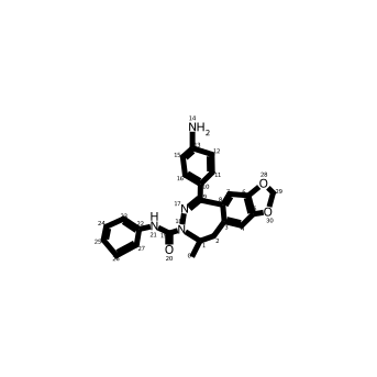 CC1Cc2cc3c(cc2C(c2ccc(N)cc2)=NN1C(=O)Nc1ccccc1)OCO3